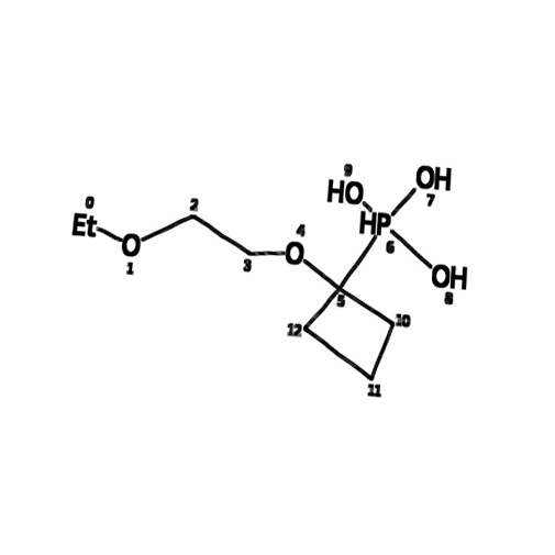 CCOCCOC1([PH](O)(O)O)CCC1